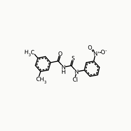 Cc1cc(C)cc(C(=O)NC(=S)N(Cl)c2cccc([N+](=O)[O-])c2)c1